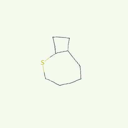 C1CCC2CCC2SC1